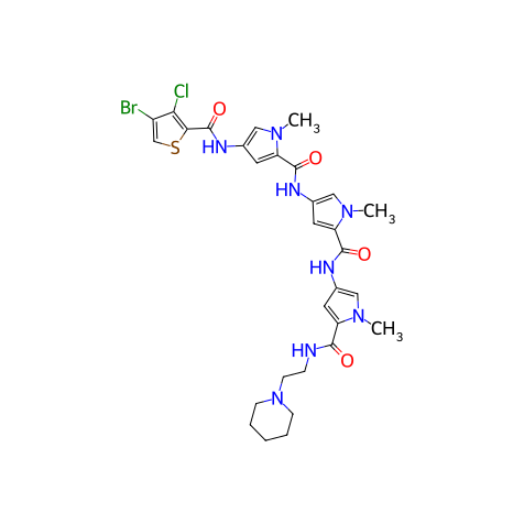 Cn1cc(NC(=O)c2cc(NC(=O)c3cc(NC(=O)c4scc(Br)c4Cl)cn3C)cn2C)cc1C(=O)NCCN1CCCCC1